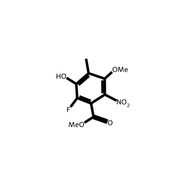 COC(=O)c1c(F)c(O)c(C)c(OC)c1[N+](=O)[O-]